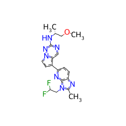 COC[C@@H](C)Nc1ncc2c(-c3ccc4nc(C)n(CC(F)F)c4n3)ccn2n1